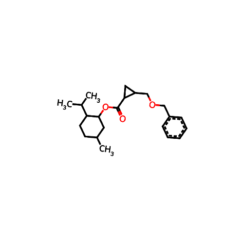 CC1CCC(C(C)C)C(OC(=O)C2CC2COCc2ccccc2)C1